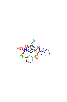 O=C(O)c1cc(F)c2nc(N3C4CCC3CC3(CC(c5c(-c6c(Cl)cccc6Cl)noc5C5CC5)C3=O)C4)sc2c1